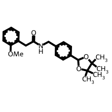 COc1ccccc1CC(=O)NCc1ccc(C2OC(C)(C)C(C)(C)O2)cc1